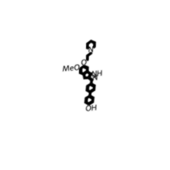 COc1cc2c(cc1OCCCN1CCCCC1)-c1[nH]nc(-c3ccc(-c4ccc(O)cc4)cc3)c1C2